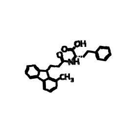 Cc1cccc2c1C(CCC(=O)N[C@@H](CCc1ccccc1)C(=O)O)c1ccccc1-2